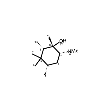 CN[C@@H]1C[C@H](C)C(C)(C)[C@H](C)[C@]1(C)O